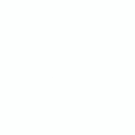 O=S(=O)(O)Oc1c2ccccc2c2ccc3c(OS(=O)(=O)O)c4ccccc4c4ccc1c2c34